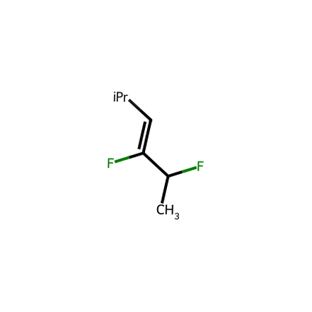 CC(C)C=C(F)C(C)F